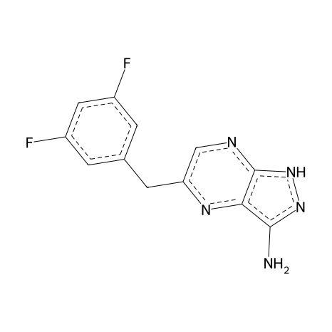 Nc1n[nH]c2ncc(Cc3cc(F)cc(F)c3)nc12